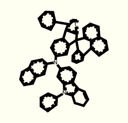 C1=Cc2c(n(-c3ccccc3)c3cc(N(c4ccc5c(c4)C4(c6ccccc6-c6cccc7cccc4c67)c4cccc(-c6ccccc6)c4-5)c4ccc5ccccc5c4)ccc23)CC1